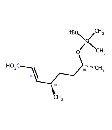 C[C@H](CC[C@@H](C)/C=C/C(=O)O)O[Si](C)(C)C(C)(C)C